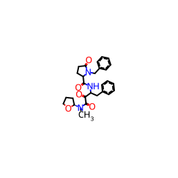 CN(C(=O)C(=O)C(Cc1ccccc1)NC(=O)C1CCC(=O)N1Cc1ccccc1)[C@@H]1CCCO1